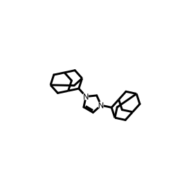 C1=CN(C2C3CC4CC(C3)CC2C4)CN1C1C2CC3CC(C2)CC1C3